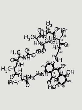 CC(C)C[C@H](NC(=O)[C@H](C)NC(=O)[C@H](C)NC(=O)OC(C)(C)C)C(=O)NCCNc1ccc(NCCNC(=O)[C@H](CC(C)C)NC(=O)[C@H](C)NC(=O)[C@H](C)NC(=O)OC(C)(C)C)c2c1C(=O)c1c(O)ccc(O)c1C2=O